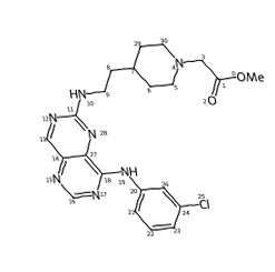 COC(=O)CN1CCC(CCNc2ncc3ncnc(Nc4cccc(Cl)c4)c3n2)CC1